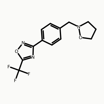 FC(F)(F)c1nc(-c2ccc(CN3CCCO3)cc2)no1